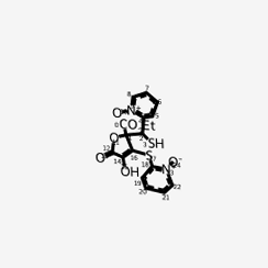 CCOC(=O)C1(C(S)c2cccc[n+]2[O-])OC(=O)C(O)=C1Sc1cccc[n+]1[O-]